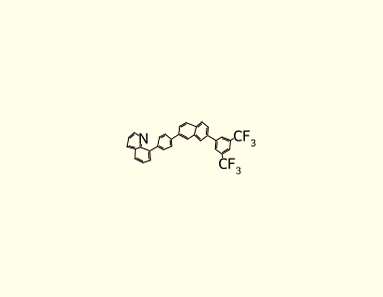 FC(F)(F)c1cc(-c2ccc3ccc(-c4ccc(-c5cccc6cccnc56)cc4)cc3c2)cc(C(F)(F)F)c1